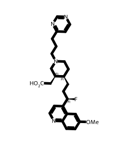 COc1ccc2nccc([C@H](F)CC[C@@H]3CCN(CCCc4ccncn4)C[C@@H]3CC(=O)O)c2c1